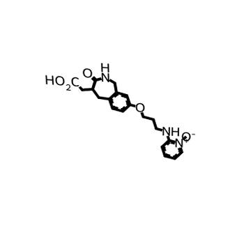 O=C(O)CC1Cc2ccc(OCCCNc3cccc[n+]3[O-])cc2CNC1=O